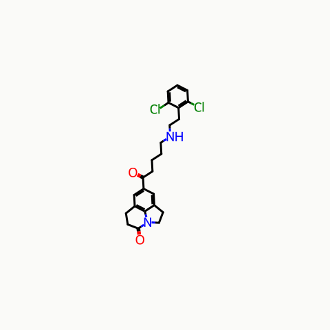 O=C(CCCCNCCc1c(Cl)cccc1Cl)c1cc2c3c(c1)CCN3C(=O)CC2